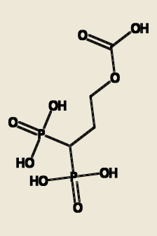 O=C(O)OCCC(P(=O)(O)O)P(=O)(O)O